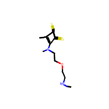 CNCCOCCN(C)c1c(C)c(=S)c1=S